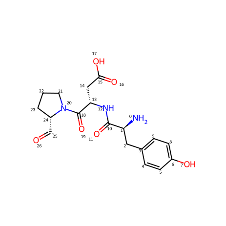 N[C@@H](Cc1ccc(O)cc1)C(=O)N[C@@H](CC(=O)O)C(=O)N1CCC[C@H]1[C]=O